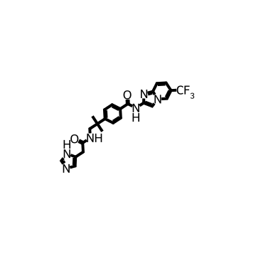 CC(C)(CNC(=O)Cc1cnc[nH]1)c1ccc(C(=O)Nc2cn3cc(C(F)(F)F)ccc3n2)cc1